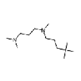 CN(C)CCCN(C)CCCC(C)(C)C